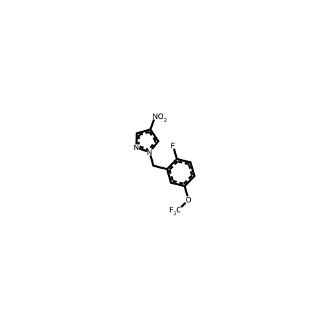 O=[N+]([O-])c1cnn(Cc2cc(OC(F)(F)F)ccc2F)c1